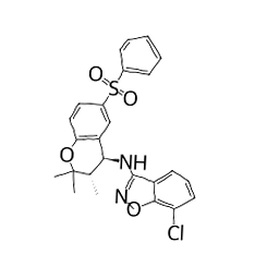 C[C@H]1[C@H](Nc2noc3c(Cl)cccc23)c2cc(S(=O)(=O)c3ccccc3)ccc2OC1(C)C